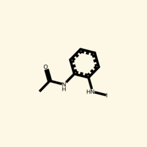 CC(=O)Nc1ccccc1NI